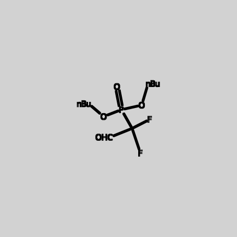 CCCCOP(=O)(OCCCC)C(F)(F)C=O